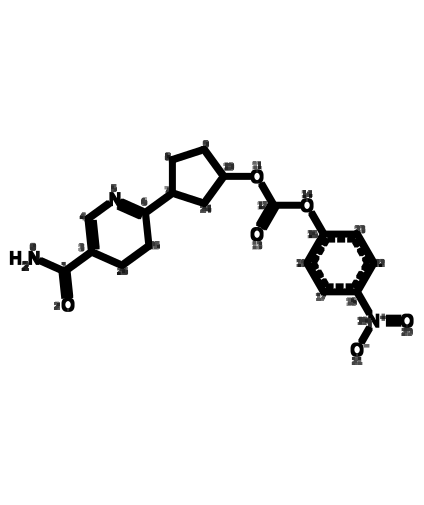 NC(=O)C1=CN=C(C2CCC(OC(=O)Oc3ccc([N+](=O)[O-])cc3)C2)CC1